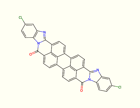 O=c1c2ccc3c4ccc5c(=O)n6c7ccc(Cl)cc7nc6c6ccc(c7ccc(c2c37)c2nc3cc(Cl)ccc3n12)c4c56